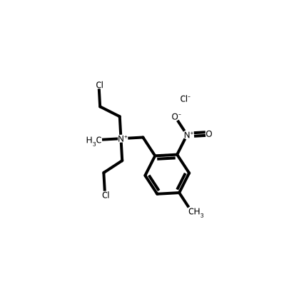 Cc1ccc(C[N+](C)(CCCl)CCCl)c([N+](=O)[O-])c1.[Cl-]